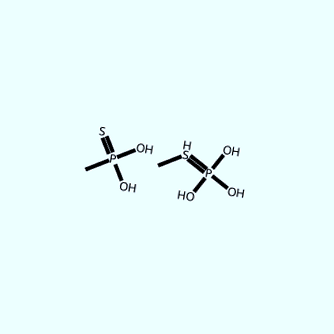 CP(O)(O)=S.C[SH]=P(O)(O)O